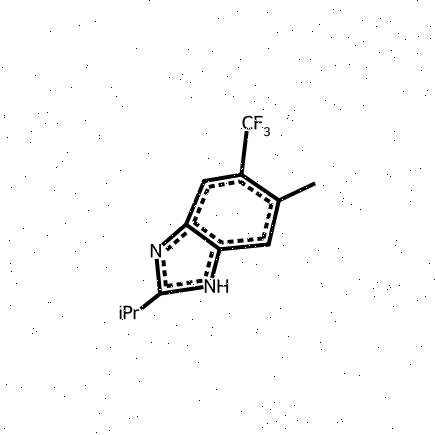 Cc1cc2[nH]c(C(C)C)nc2cc1C(F)(F)F